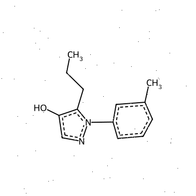 CCCc1c(O)cnn1-c1cccc(C)c1